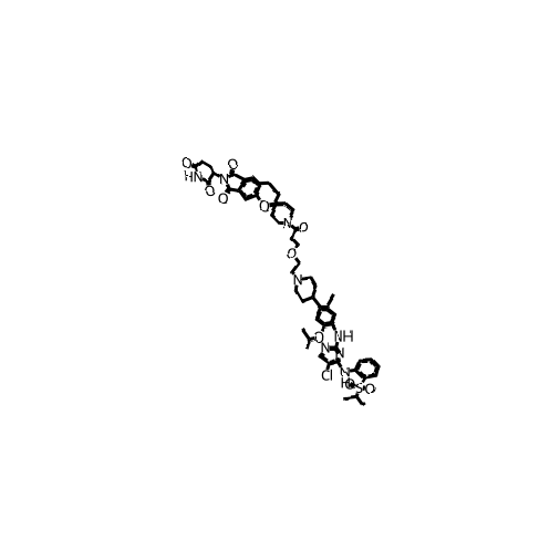 Cc1cc(Nc2ncc(Cl)c(Nc3ccccc3S(=O)(=O)C(C)C)n2)c(OC(C)C)cc1C1CCN(CCOCCC(=O)N2CCC3(CCc4cc5c(cc4O3)C(=O)N(C3CCC(=O)NC3=O)C5=O)CC2)CC1